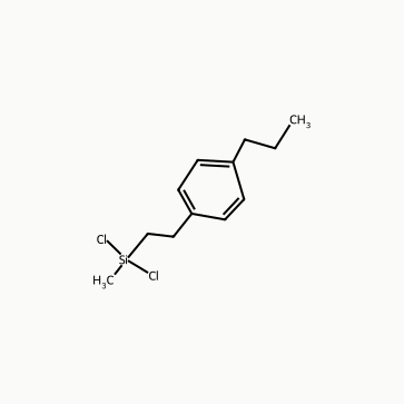 CCCc1ccc(CC[Si](C)(Cl)Cl)cc1